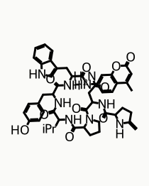 C=C1CCC(C(=O)NC(CC(N)=O)C(=O)N2CCCC2C(=O)NC(C(=O)NC(Cc2ccc(O)cc2)C(=O)NC(Cc2c[nH]c3ccccc23)C(=O)Nc2ccc3c(C)cc(=O)oc3c2)C(C)C)N1